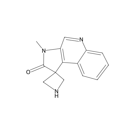 CN1C(=O)C2(CNC2)c2c1cnc1ccccc21